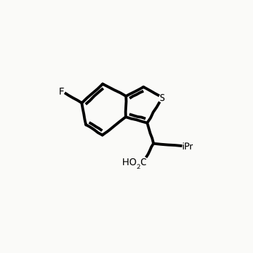 CC(C)C(C(=O)O)c1scc2cc(F)ccc12